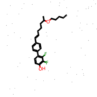 CCCCCOC(C)CCC/C=C/c1ccc(-c2ccc(O)c(F)c2F)cc1